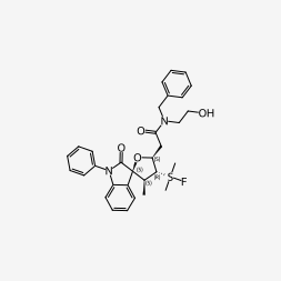 C[C@@H]1[C@@H](S(C)(C)F)[C@H](CC(=O)N(CCO)Cc2ccccc2)O[C@@]12C(=O)N(c1ccccc1)c1ccccc12